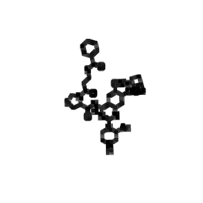 C1CC2=C1CC2.COc1cc2nc(N3CCNCC3C(C)=O)nc(NC(=O)C3CSCN3C(=O)CCSC(=O)c3ccccc3)c2cc1OC